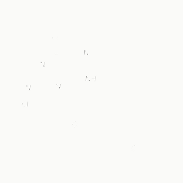 CN1CCN2C(=O)c3nc[nH]c3N(CCOc3ccc(Cl)cc3)C12